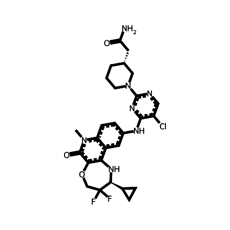 Cn1c(=O)c2c(c3cc(Nc4nc(N5CCC[C@H](CC(N)=O)C5)ncc4Cl)ccc31)N[C@@H](C1CC1)C(F)(F)CO2